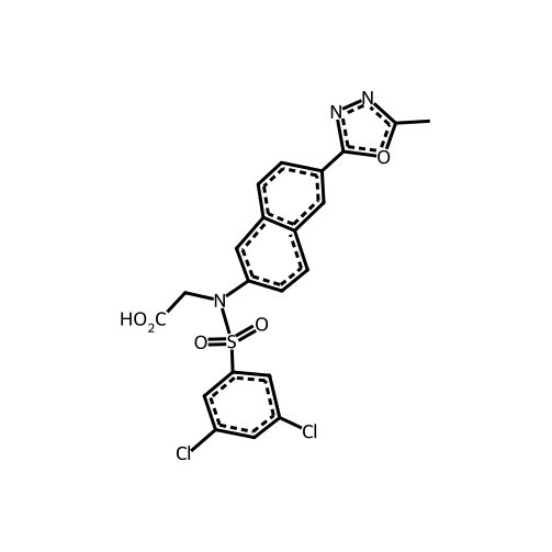 Cc1nnc(-c2ccc3cc(N(CC(=O)O)S(=O)(=O)c4cc(Cl)cc(Cl)c4)ccc3c2)o1